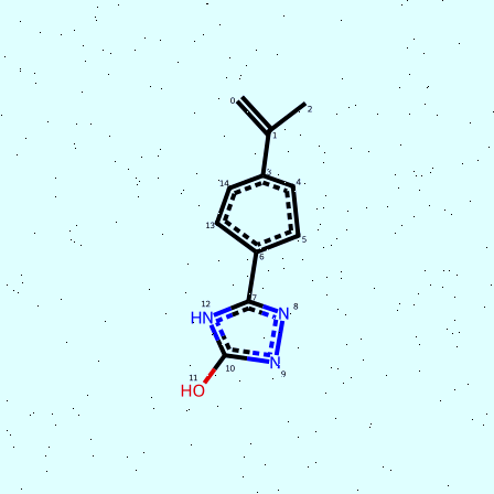 C=C(C)c1ccc(-c2nnc(O)[nH]2)cc1